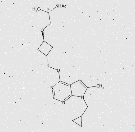 CC(=O)N[C@@H](C)CO[C@H]1C[C@H](COc2ncnc3c2cc(C)n3CC2CC2)C1